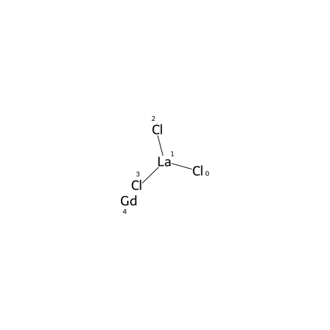 [Cl][La]([Cl])[Cl].[Gd]